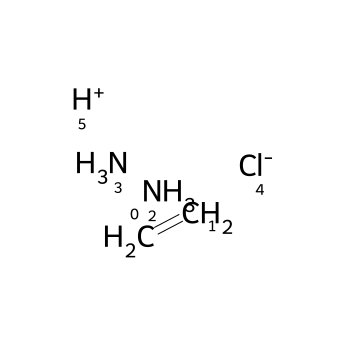 C=C.N.N.[Cl-].[H+]